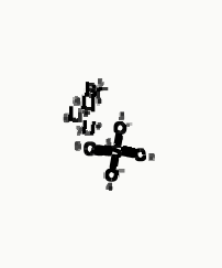 O=S(=O)([O-])[O-].[Br-].[Li+].[Li+].[Li+]